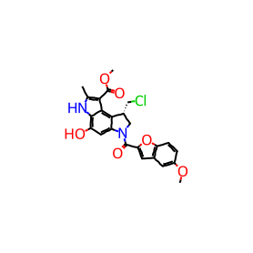 COC(=O)c1c(C)[nH]c2c(O)cc3c(c12)[C@H](CCl)CN3C(=O)c1cc2cc(OC)ccc2o1